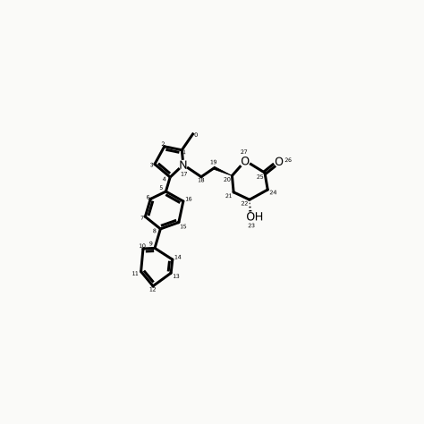 Cc1ccc(-c2ccc(-c3ccccc3)cc2)n1CC[C@@H]1C[C@@H](O)CC(=O)O1